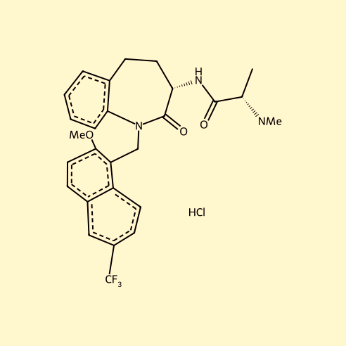 CN[C@@H](C)C(=O)N[C@H]1CCc2ccccc2N(Cc2c(OC)ccc3cc(C(F)(F)F)ccc23)C1=O.Cl